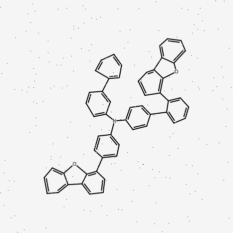 c1ccc(-c2cccc(N(c3ccc(-c4ccccc4-c4cccc5c4oc4ccccc45)cc3)c3ccc(-c4cccc5c4oc4ccccc45)cc3)c2)cc1